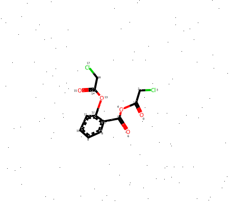 O=C(CCl)OC(=O)c1ccccc1OC(=O)CCl